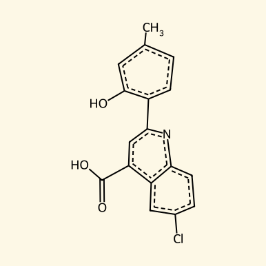 Cc1ccc(-c2cc(C(=O)O)c3cc(Cl)ccc3n2)c(O)c1